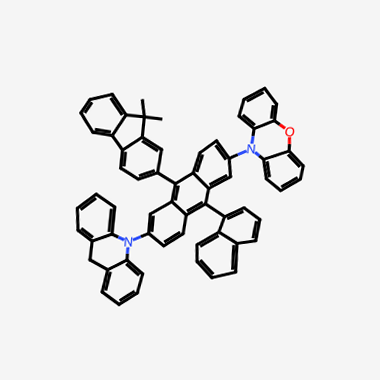 CC1(C)c2ccccc2-c2ccc(-c3c4cc(N5c6ccccc6Cc6ccccc65)ccc4c(-c4cccc5ccccc45)c4cc(N5c6ccccc6Oc6ccccc65)ccc34)cc21